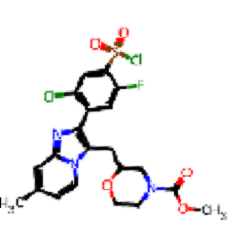 COC(=O)N1CCOC(Cc2c(-c3cc(F)c(S(=O)(=O)Cl)cc3Cl)nc3cc(C)ccn23)C1